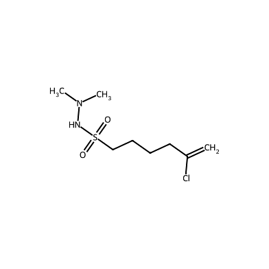 C=C(Cl)CCCCS(=O)(=O)NN(C)C